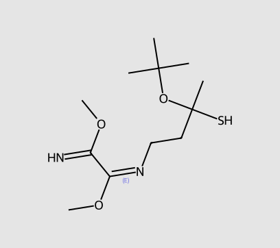 COC(=N)/C(=N\CCC(C)(S)OC(C)(C)C)OC